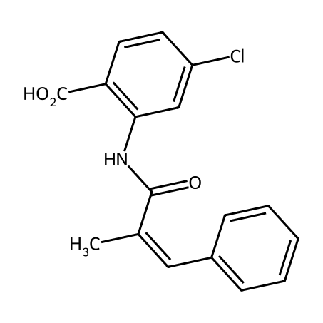 CC(=Cc1ccccc1)C(=O)Nc1cc(Cl)ccc1C(=O)O